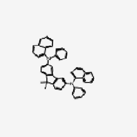 CC1(C)c2ccc(N(c3ccccc3)c3cccc4ccccc34)cc2-c2cc(N(c3ccccc3)c3cccc4ccccc34)ccc21